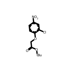 CC(C)(C)OC(=O)COc1ccc([N+](=O)[O-])cc1Cl